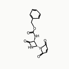 O=C(N[C@@H]1C(=O)N[C@H]1N1C(=O)C=CC1=O)OCc1ccccc1